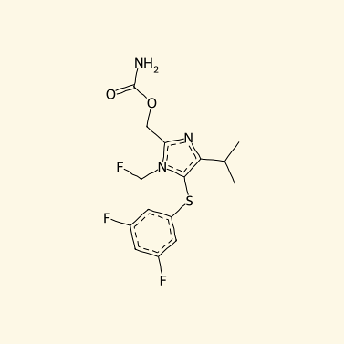 CC(C)c1nc(COC(N)=O)n(CF)c1Sc1cc(F)cc(F)c1